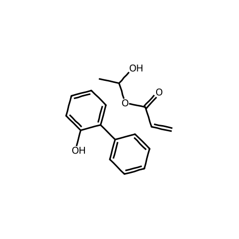 C=CC(=O)OC(C)O.Oc1ccccc1-c1ccccc1